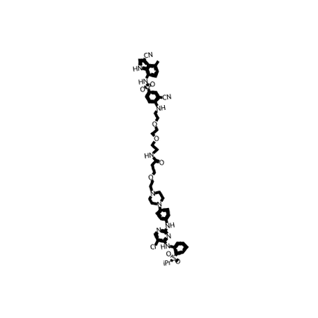 Cc1ccc(NS(=O)(=O)c2ccc(NCCOCCOCCNC(=O)CCOCCN3CCN(c4ccc(Nc5ncc(Cl)c(Nc6ccccc6S(=O)(=O)C(C)C)n5)cc4)CC3)c(C#N)c2)c2[nH]cc(C#N)c12